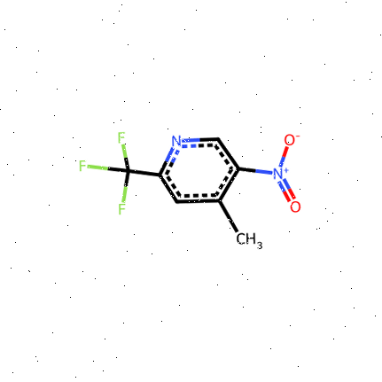 Cc1cc(C(F)(F)F)ncc1[N+](=O)[O-]